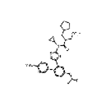 COc1ccc(-c2ccc(OC(F)F)cc2-c2csc(N(C(=O)C(CC(=O)O)CC3CCCC3)C3CC3)n2)cn1